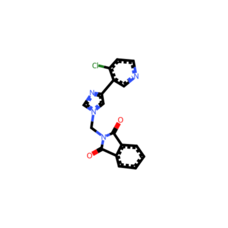 O=C1c2ccccc2C(=O)N1Cn1cnc(-c2cnccc2Cl)c1